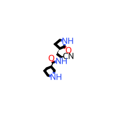 N#C[C@H](C[C@@H]1CCNC1=O)NC(=O)[C@@H]1CCCNC1